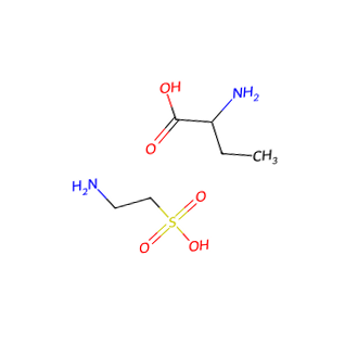 CCC(N)C(=O)O.NCCS(=O)(=O)O